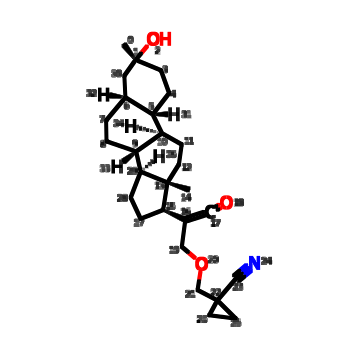 C[C@@]1(O)CC[C@H]2[C@H](CC[C@@H]3[C@@H]2CC[C@]2(C)[C@@H](C(=C=O)COCC4(C#N)CC4)CC[C@@H]32)C1